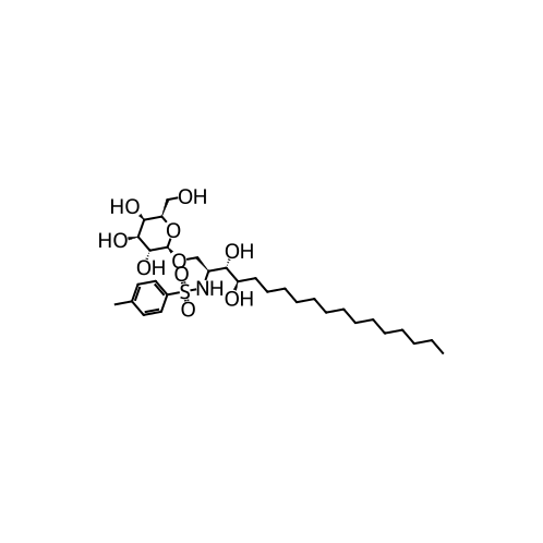 CCCCCCCCCCCCCC[C@@H](O)[C@@H](O)[C@H](CO[C@@H]1O[C@H](CO)[C@H](O)[C@H](O)[C@H]1O)NS(=O)(=O)c1ccc(C)cc1